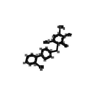 CCCCc1nc(C)n(CCC)c(=O)c1Cc1ccc(-c2ccccc2C#N)cc1